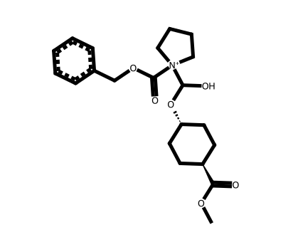 COC(=O)[C@H]1CC[C@H](OC(O)[N+]2(C(=O)OCc3ccccc3)CCCC2)CC1